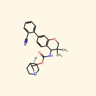 CC1(C)COc2cc(-c3ccccc3C#N)ccc2C1NC(=O)O[C@H]1CN2CCC1CC2